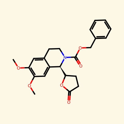 COc1cc2c(cc1OC)[C@H](C1CCC(=O)O1)N(C(=O)OCc1ccccc1)CC2